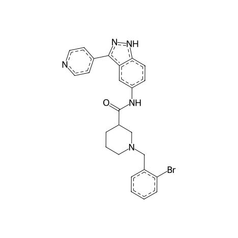 O=C(Nc1ccc2[nH]nc(-c3ccncc3)c2c1)C1CCCN(Cc2ccccc2Br)C1